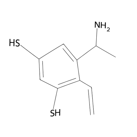 C=Cc1c(S)cc(S)cc1C(C)N